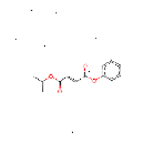 CC(C)OC(=O)C=CC(=O)Oc1ccccc1